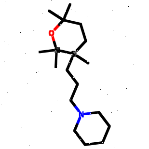 CC1(C)CC[Si](C)(CCCN2CCCCC2)[Si](C)(C)O1